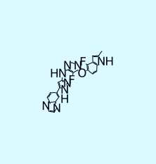 Cc1cc2c(F)c(Oc3ncnc(Nc4cc(-c5ccc6nccnc6c5)[nH]n4)c3F)ccc2[nH]1